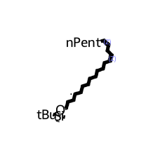 CCCCC/C=C\C/C=C\CCCCCCCC[CH]CCCO[Si](C)(C)C(C)(C)C